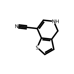 N#CC1=CNCc2ccsc21